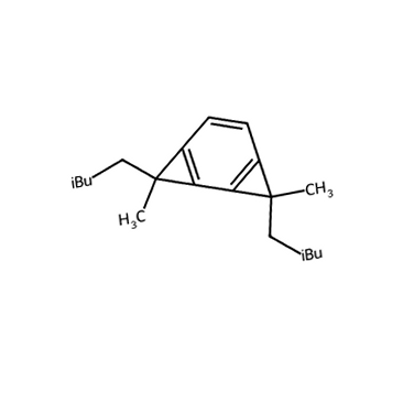 CCC(C)CC1(C)c2ccc3c(c21)C3(C)CC(C)CC